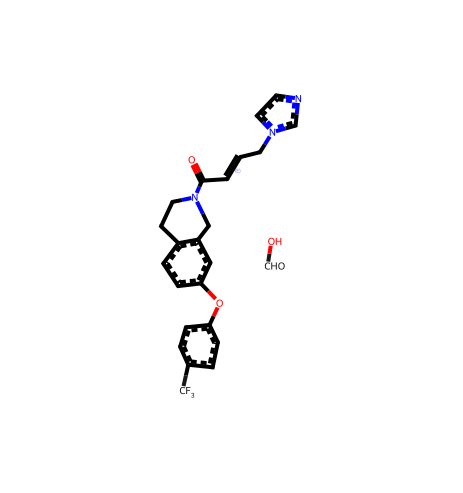 O=C(/C=C/Cn1ccnc1)N1CCc2ccc(Oc3ccc(C(F)(F)F)cc3)cc2C1.O=CO